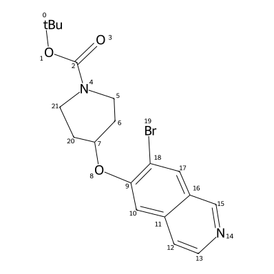 CC(C)(C)OC(=O)N1CCC(Oc2cc3ccncc3cc2Br)CC1